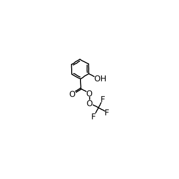 O=C(OOC(F)(F)F)c1ccccc1O